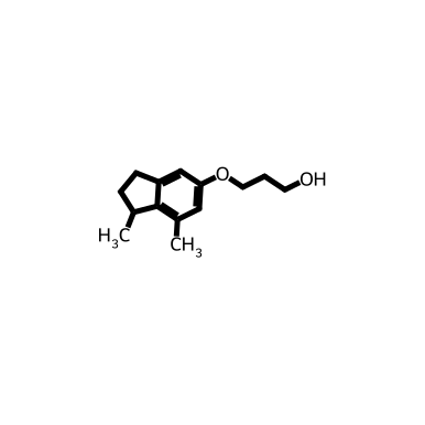 Cc1cc(OCCCO)cc2c1C(C)CC2